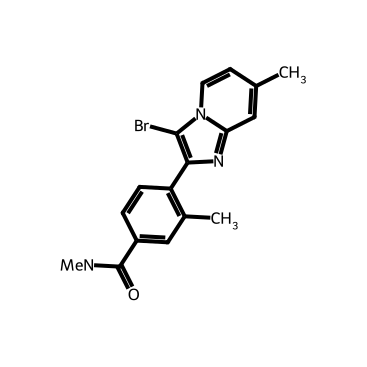 CNC(=O)c1ccc(-c2nc3cc(C)ccn3c2Br)c(C)c1